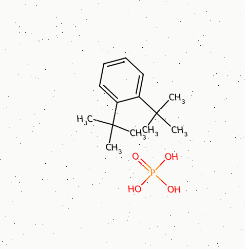 CC(C)(C)c1ccccc1C(C)(C)C.O=P(O)(O)O